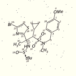 COc1ccc(CN(C)S(=O)(=O)C(C2CC2)C(C)(N[S@+]([O-])C(C)(C)C)c2nc(Br)cs2)cc1